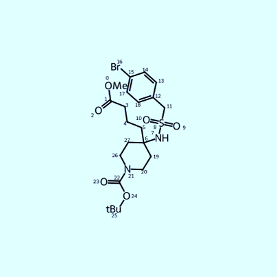 COC(=O)CCCC1(NS(=O)(=O)Cc2ccc(Br)cc2)CCN(C(=O)OC(C)(C)C)CC1